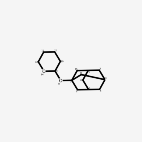 [CH]1C2CC3CC1CC(OC1CCCCO1)(C2)C3